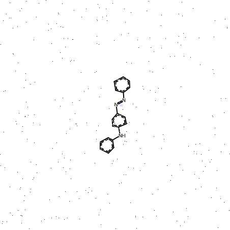 c1ccc(/N=N/c2ccc(Nc3ccccc3)cc2)cc1